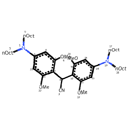 CCCCCCCCN(CCCCCCCC)c1cc(OC)c(C(C#N)c2c(OC)cc(N(CCCCCCCC)CCCCCCCC)cc2OC)c(OC)c1